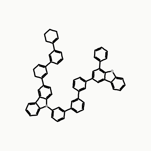 C1=C(c2cccc(C3=CCCCC3)c2)C=C(c2ccc3c(c2)c2ccccc2n3-c2cccc(-c3cccc(-c4cccc(-c5cc(-c6ccccc6)c6oc7ccccc7c6c5)c4)c3)c2)CC1